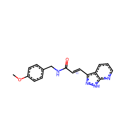 COc1ccc(CNC(=O)/C=C/c2n[nH]c3ncccc23)cc1